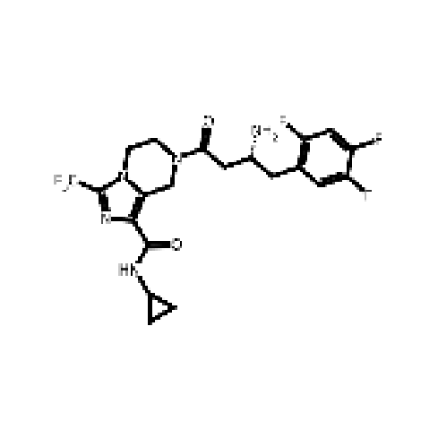 N[C@@H](CC(=O)N1CCn2c(C(F)(F)F)nc(C(=O)NC3CC3)c2C1)Cc1cc(F)c(F)cc1F